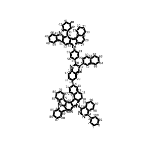 c1ccc(-c2nnc(-n3c4ccc5cc(-c6ccc7nc(-c8ccc(-n9c%10ccc%11ccccc%11c%10c%10c%11c%12ccccc%12n%12c%13ccccc%13c(cc%109)c%11%12)cc8)c(-c8ccc9ccccc9c8)nc7c6)ccc5c4c4c5c6ccccc6n6c7ccccc7c(cc43)c56)c3ccccc23)cc1